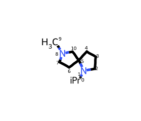 CC(C)N1CCCC12CCN(C)C2